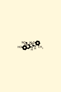 Cc1cccc(C)c1NC(=O)NC(Cc1ccc(O)cc1)C(=O)NCC#N